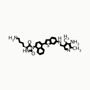 Cc1ncc(CNc2ccc3cc(-c4ccc(N5C(=O)N[C@@H](CCCCN)C5=O)c5ccccc45)sc3c2)c(C)c1N